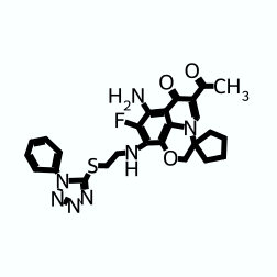 CC(=O)c1cn2c3c(c(NCCSc4nnnn4-c4ccccc4)c(F)c(N)c3c1=O)OCC21CCCC1